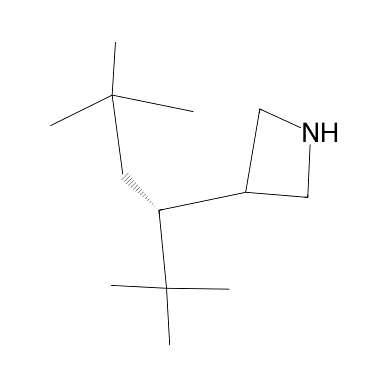 CC(C)(C)C[C@H](C1CNC1)C(C)(C)C